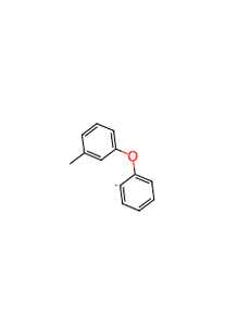 Cc1cccc(Oc2[c]cccc2)c1